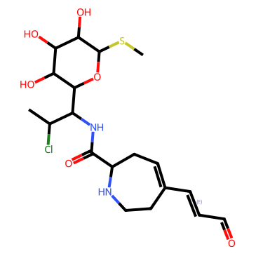 CSC1OC(C(NC(=O)C2CC=C(/C=C/C=O)CCN2)C(C)Cl)C(O)C(O)C1O